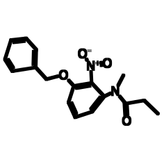 CCC(=O)N(C)c1cccc(OCc2ccccc2)c1[N+](=O)[O-]